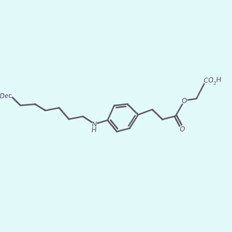 CCCCCCCCCCCCCCCCNc1ccc(CCC(=O)OCC(=O)O)cc1